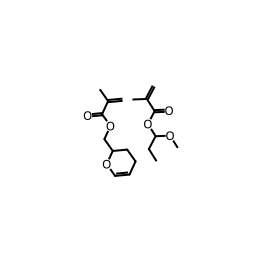 C=C(C)C(=O)OC(CC)OC.C=C(C)C(=O)OCC1CCC=CO1